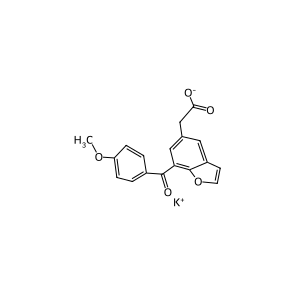 COc1ccc(C(=O)c2cc(CC(=O)[O-])cc3ccoc23)cc1.[K+]